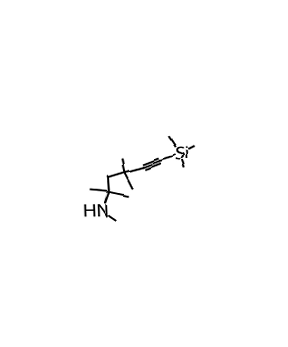 CNC(C)(C)CC(C)(C)C#C[Si](C)(C)C